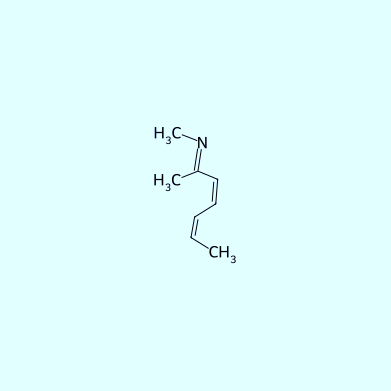 C\C=C/C=C\C(C)=N\C